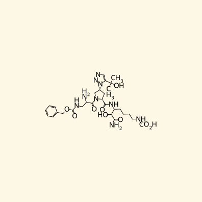 CC(C)(O)c1cnnn1[C@H]1C[C@@H](C(=O)NC(CCCCNC(=O)O)C(O)C(N)=O)N(C(=O)[C@H](N)CNC(=O)OCc2ccccc2)C1